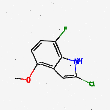 COc1ccc(F)c2[nH]c(Cl)cc12